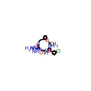 CC(C)[C@H]1NC(=O)C(/C=C/c2cccc(Cl)c2)N[C@H](C)COc2ccccc2CCCNC(=O)[C@H](CNC(=N)N)NC1=O